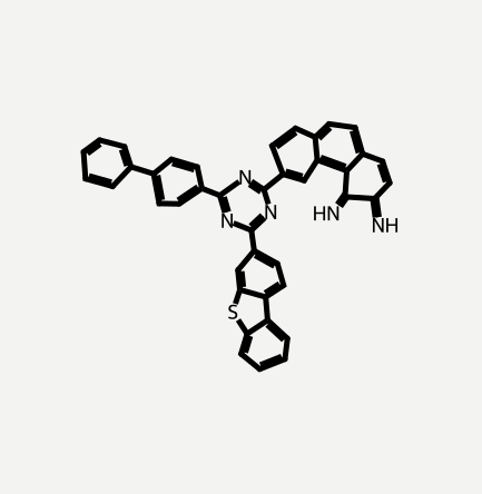 N=C1C=Cc2ccc3ccc(-c4nc(-c5ccc(-c6ccccc6)cc5)nc(-c5ccc6c(c5)sc5ccccc56)n4)cc3c2C1=N